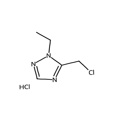 CCn1ncnc1CCl.Cl